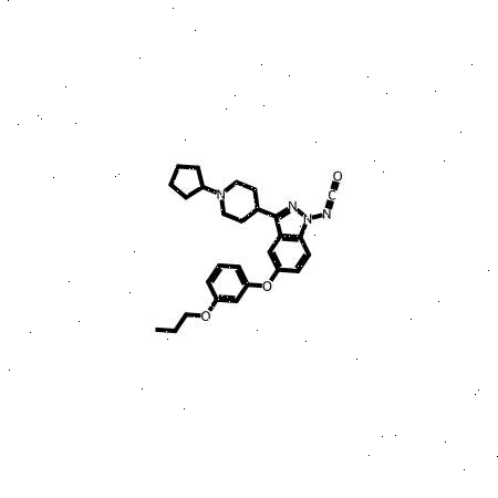 CCCOc1cccc(Oc2ccc3c(c2)c(C2CCN(C4CCCC4)CC2)nn3N=C=O)c1